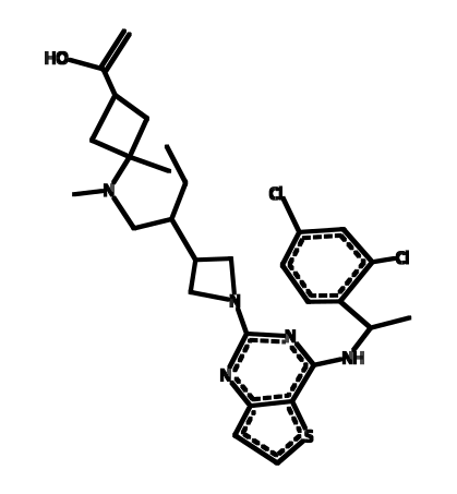 C=C(O)C1CC(C)(N(C)CC(CC)C2CN(c3nc(NC(C)c4ccc(Cl)cc4Cl)c4sccc4n3)C2)C1